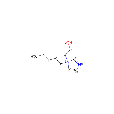 CCCCC[N+]1(CCO)C=CN=C1